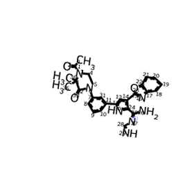 CC(=O)N1CCN(c2cccc(-c3cc(-c4nc5ccccc5o4)c(/C(N)=N\C=N)[nH]3)c2)C(=O)C1(C)C